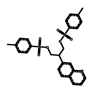 Cc1ccc(S(=O)(=O)OCC(COS(=O)(=O)c2ccc(C)cc2)c2ccc3cccnc3c2)cc1